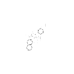 CCCN1c2ccc(C)cc2C(C)(C(=O)OCC)C12COc1c(ccc3ccccc13)N2